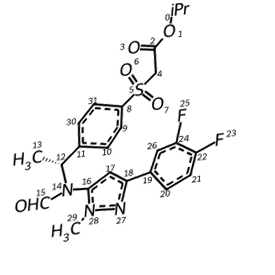 CC(C)OC(=O)CS(=O)(=O)c1ccc([C@@H](C)N(C=O)c2cc(-c3ccc(F)c(F)c3)nn2C)cc1